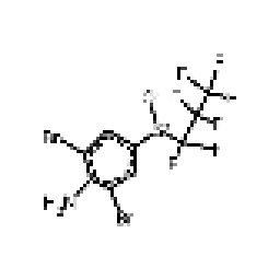 Nc1c(Br)cc([S+]([O-])C(F)(F)C(F)(F)C(F)(F)F)cc1Br